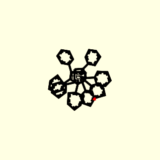 c1ccc([C]23[CH]4[C]5(c6ccccc6)[C]6(c7ccccc7)[C]2(c2ccccc2)[Fe]43562789[CH]3[C]2(c2ccccc2)[C]7(c2ccccc2)[C]8(c2ccccc2)[C]39c2ccccc2)cc1